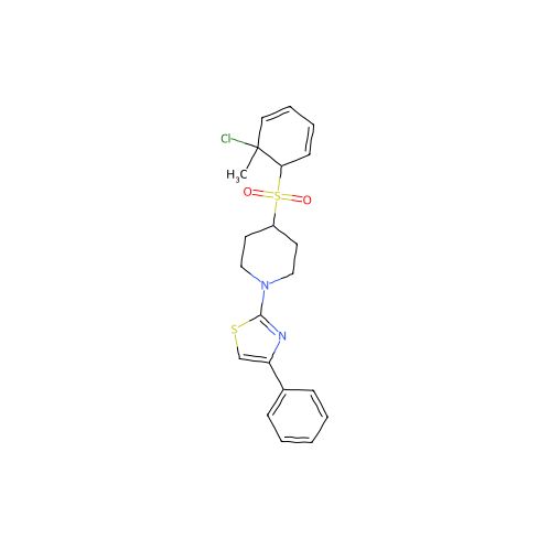 CC1(Cl)C=CC=CC1S(=O)(=O)C1CCN(c2nc(-c3ccccc3)cs2)CC1